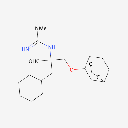 CNC(=N)NC(C=O)(COC1CC2CCCC1CC2)CC1CCCCC1